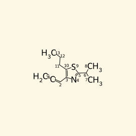 C=C=Cc1nc(C(C)C)sc1CCC